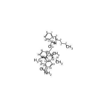 CCCCc1cc2ccccc2c(OCC[N+](C)(C)[C@H](CC)c2ccc(C(N)=O)c(CC)c2-c2ccccc2)n1